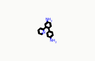 Nc1ccc(-c2ccc(N)cc2-c2ccccn2)cc1